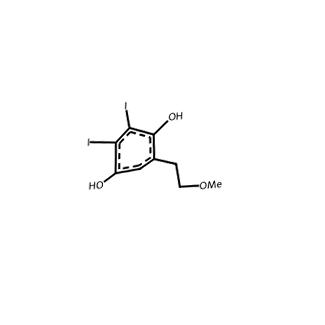 COCCc1cc(O)c(I)c(I)c1O